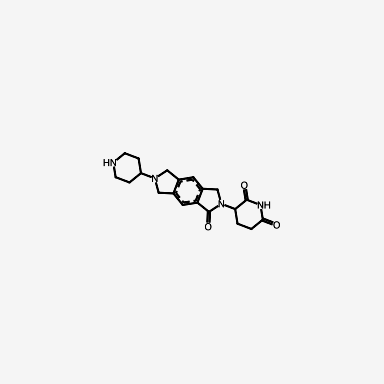 O=C1CCC(N2Cc3cc4c(cc3C2=O)CN(C2CCNCC2)C4)C(=O)N1